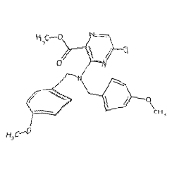 COC(=O)c1ncc(Cl)nc1N(Cc1ccc(OC)cc1)Cc1ccc(OC)cc1